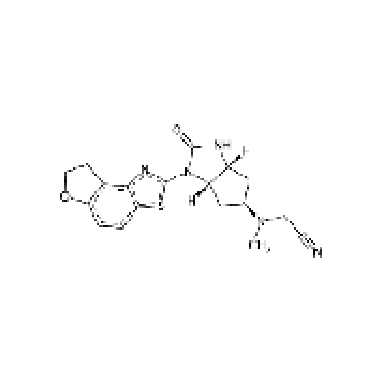 CN(CC#N)[C@@H]1C[C@H]2NC(=O)N(c3nc4c5c(ccc4s3)OCC5)[C@H]2C1